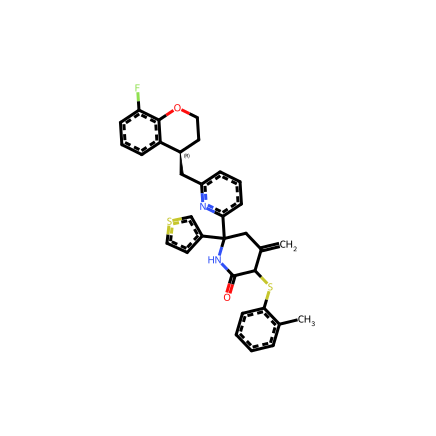 C=C1CC(c2ccsc2)(c2cccc(C[C@@H]3CCOc4c(F)cccc43)n2)NC(=O)C1Sc1ccccc1C